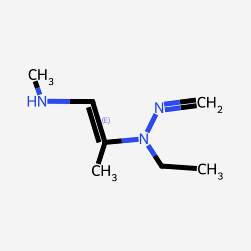 C=NN(CC)/C(C)=C/NC